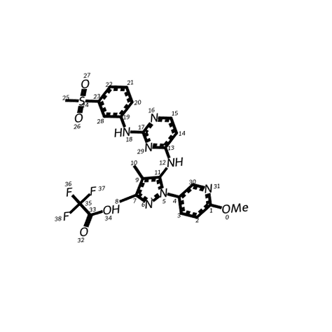 COc1ccc(-n2nc(C)c(C)c2Nc2ccnc(Nc3cccc(S(C)(=O)=O)c3)n2)cn1.O=C(O)C(F)(F)F